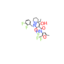 CCC12CCCCN1N(Cc1cccc(F)c1F)C(=O)C(C(=O)Nc1cc(C)oc1C(F)(F)F)=C2O